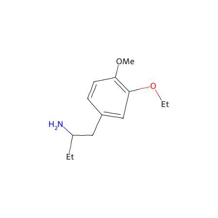 CCOc1cc(CC(N)CC)ccc1OC